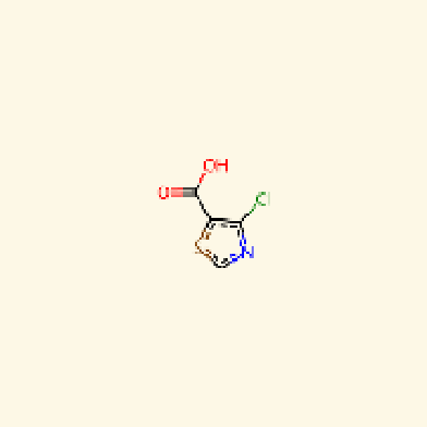 O=C(O)c1scnc1Cl